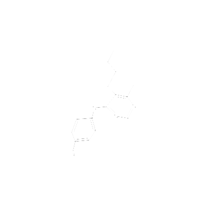 CCCCc1c(C)ncnc1Nc1ccc(Br)cc1